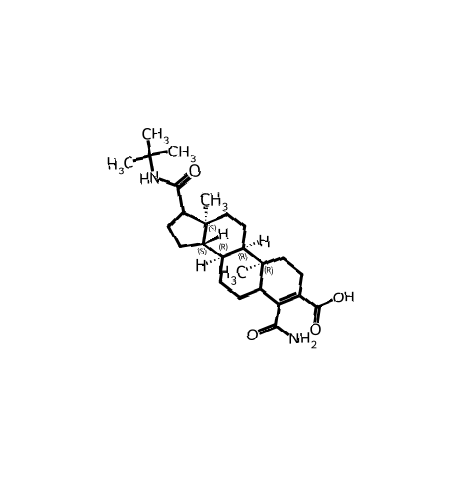 CC(C)(C)NC(=O)C1CC[C@H]2[C@@H]3CCC4C(C(N)=O)=C(C(=O)O)CC[C@]4(C)[C@@H]3CC[C@]12C